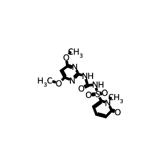 COc1cc(OC)nc(NC(=O)NS(=O)(=O)c2cccc(=O)n2C)n1